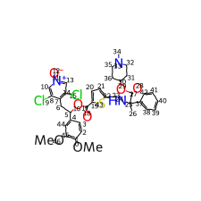 COc1ccc(C(Cc2c(Cl)c[n+]([O-])cc2Cl)OC(=O)c2ccc(CNC(C)(C(=O)OC3CCN(C)CC3)c3ccccc3)s2)cc1OC